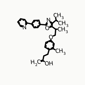 C=C(O)CCc1ccc(OCC(C)c2oc(-c3ccc(-c4ccccn4)cc3)nc2C(C)C)cc1C